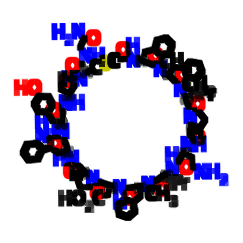 CCC[C@H]1C(=O)N2CCC[C@@H]2C(=O)N[C@@H](CCN)C(=O)N[C@@H](C(C)C)C(=O)N(C)[C@@H](Cc2ccccc2)C(=O)N[C@@H](CC(=O)O)C(=O)N2CCC[C@@H]2C(=O)N[C@@H](Cc2c[nH]c3ccccc23)C(=O)N[C@@H](Cc2ccc(O)cc2)C(=O)N[C@@H](CC(C)C)C(=O)N[C@H](C(=O)NCC(N)=O)CSCC(=O)N[C@@H](Cc2ccccc2)C(=O)N(C)[C@@H](Cc2ccccc2)C(=O)N1C